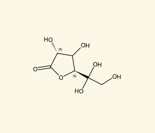 O=C1O[C@H](C(O)(O)CO)C(O)[C@H]1O